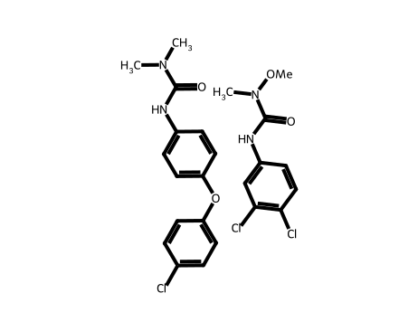 CN(C)C(=O)Nc1ccc(Oc2ccc(Cl)cc2)cc1.CON(C)C(=O)Nc1ccc(Cl)c(Cl)c1